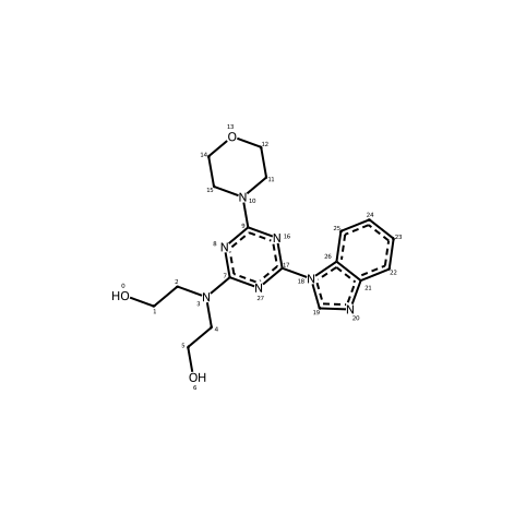 OCCN(CCO)c1nc(N2CCOCC2)nc(-n2cnc3ccccc32)n1